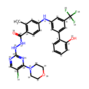 Cc1cc(Nc2cc(-c3ccccc3O)cc(C(F)(F)F)c2)ccc1C(=O)NNc1ncc(F)c(N2CCOCC2)n1